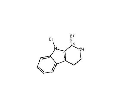 CC[C@@H]1NCCc2c1n(CC)c1ccccc21